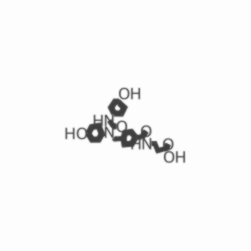 O=C(O)CCNC(=O)c1ccc(CN(C(=O)Nc2ccc(O)cc2)c2ccc(O)cc2)cc1